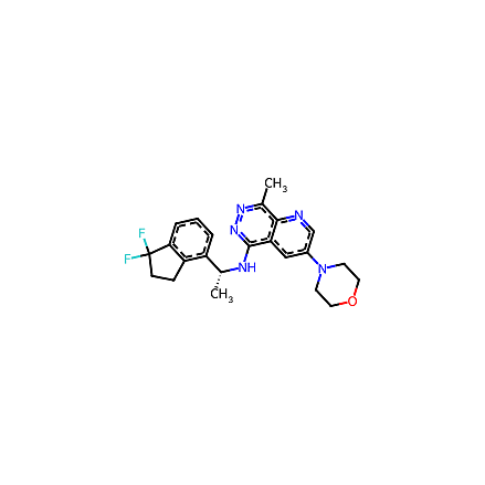 Cc1nnc(N[C@H](C)c2cccc3c2CCC3(F)F)c2cc(N3CCOCC3)cnc12